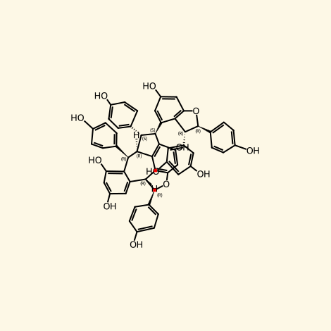 Oc1ccc([C@@H]2c3c(O)cc(O)cc3[C@@H]3c4c(cc(O)c5c4[C@@H]2[C@H](c2ccc(O)cc2)[C@H]5c2cc(O)cc4c2[C@@H](c2cc(O)cc(O)c2)[C@H](c2ccc(O)cc2)O4)O[C@H]3c2ccc(O)cc2)cc1